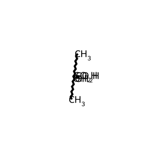 CCCCCCCCCCCCCCCCCCC.O=C(O)O.O=C(O)O